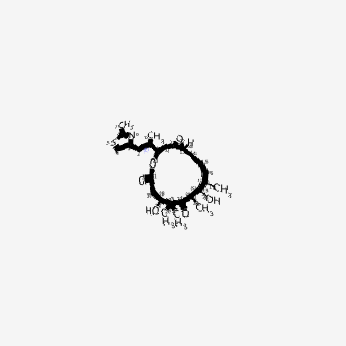 C/C(=C\c1csc(C)n1)C1CC2O[C@@H]2CCC[C@H](C)[C@H](O)[C@@H](C)C(=O)C(C)(C)[C@@H](O)CC(=O)O1